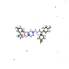 CC(CN1CCN(CCCC(c2ccc(F)cc2)c2ccc(F)cc2)CC1)Oc1ccc(F)cc1F